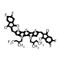 CC(Cn1c2cc(C=C3C(=O)c4cc(F)c(F)cc4C3=O)sc2c2sc3c4sc(C=C5C(=O)c6cc(F)c(F)cc6C5=O)cc4n(CC(C)CC(F)(F)F)c3c21)CC(F)(F)F